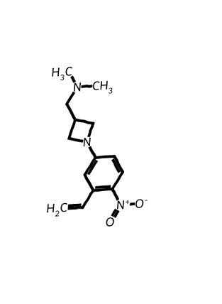 C=Cc1cc(N2CC(CN(C)C)C2)ccc1[N+](=O)[O-]